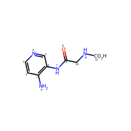 Nc1ccncc1NC(=O)CNC(=O)O